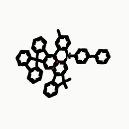 Cc1ccc(N(c2ccc(-c3ccccc3)cc2)c2ccc3c(c2)C(C)(C)c2ccccc2-3)c(-c2cccc3c2-c2ccccc2C32c3ccccc3-c3ccccc32)c1